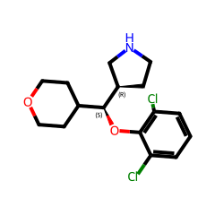 Clc1cccc(Cl)c1O[C@@H](C1CCOCC1)[C@@H]1CCNC1